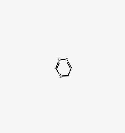 [C]1=NN=CCS1